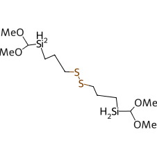 COC(OC)[SiH2]CCCSSCCC[SiH2]C(OC)OC